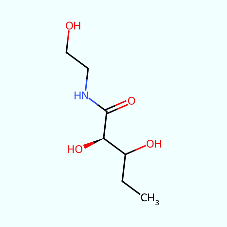 CCC(O)[C@@H](O)C(=O)NCCO